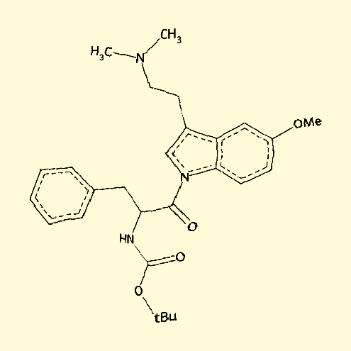 COc1ccc2c(c1)c(CCN(C)C)cn2C(=O)C(Cc1ccccc1)NC(=O)OC(C)(C)C